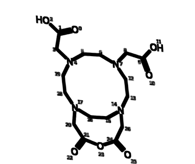 O=C(O)CN1CCN(CC(=O)O)CCN2CCN(CC1)CC(=O)OC(=O)C2